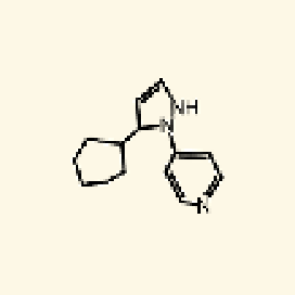 C1=CC(C2CCCCC2)N(c2ccncc2)N1